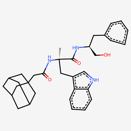 C[C@](Cc1c[nH]c2ccccc12)(NC(=O)CC12CC3CC(CC(C3)C1)C2)C(=O)N[C@H](CO)Cc1ccccc1